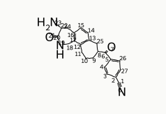 N#Cc1ccc(C(=O)C2CCCc3c(ccc4c3CNC(=O)[C@@H](N)C4)C2)cc1